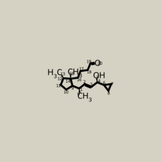 C[C@H](/C=C/[C@@H](O)C1CC1)C1CC[C@@H](C)[C@]1(C)CCCC=O